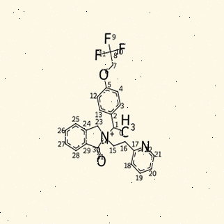 CC(c1ccc(OCC(F)(F)F)cc1)[N+]1(CCc2ccccn2)Cc2ccccc2C1=O